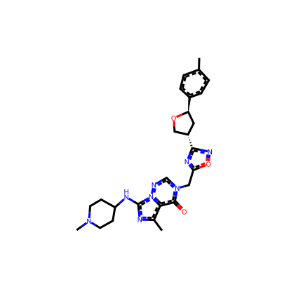 Cc1ccc([C@H]2C[C@H](c3noc(Cn4cnn5c(NC6CCN(C)CC6)nc(C)c5c4=O)n3)CO2)cc1